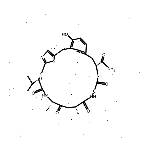 CC(C)[C@H]1Nc2ncc(s2)Cc2cc(ccc2O)C[C@@H](C(N)=O)NC(=O)CNC(=O)[C@H](C)CC(=O)[C@H](C)NC1=O